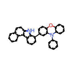 c1ccc(N2c3ccccc3Oc3ccc(-c4cccc5c4[nH]c4ccc6ccccc6c45)cc32)cc1